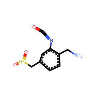 NCc1ccc(C[SH](=O)=O)cc1N=C=O